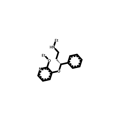 CCNCC[C@@H](Oc1cccnc1OCC)c1ccccc1